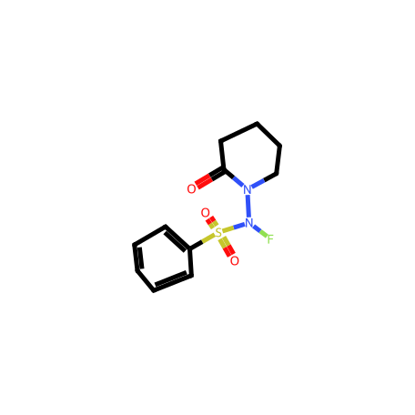 O=C1CCCCN1N(F)S(=O)(=O)c1ccccc1